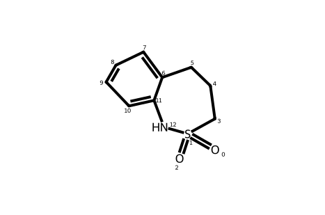 O=S1(=O)CCCc2ccccc2N1